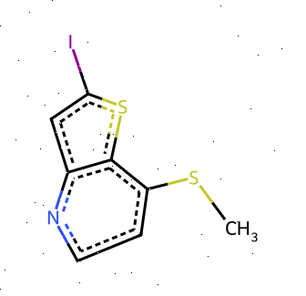 CSc1ccnc2cc(I)sc12